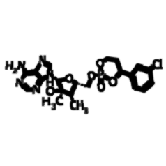 C[C@@H]1[C@@H](CO[P@@]2(=O)OCCC(c3cccc(Cl)c3)O2)O[C@@H](n2cnc3c(N)ncnc32)[C@]1(C)O